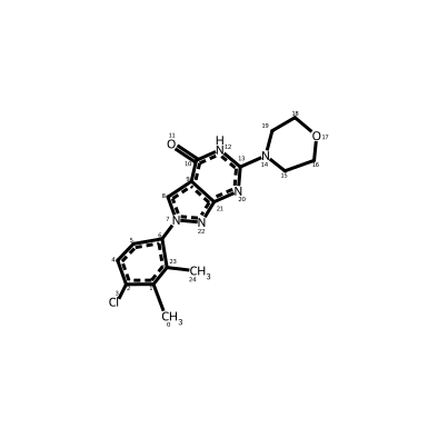 Cc1c(Cl)ccc(-n2cc3c(=O)[nH]c(N4CCOCC4)nc3n2)c1C